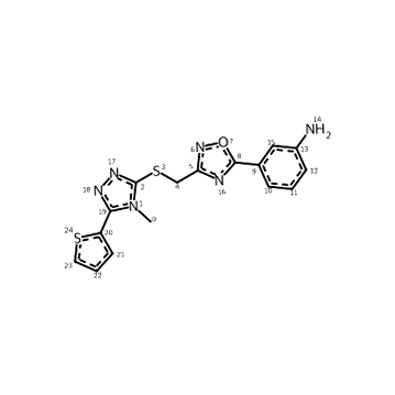 Cn1c(SCc2noc(-c3cccc(N)c3)n2)nnc1-c1cccs1